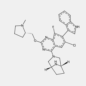 CN1CCC[C@H]1COc1nc(N2C[C@H]3CC[C@@H](C2)N3)c2cc(Cl)c(-c3c[nH]c4ccccc34)c(F)c2n1